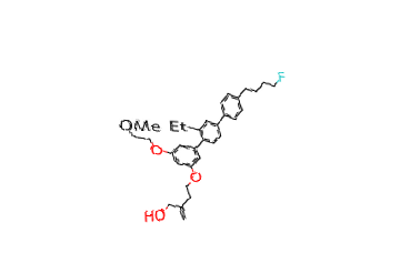 C=C(CO)CCOc1cc(OCCOC)cc(-c2ccc(-c3ccc(CCCCF)cc3)cc2CC)c1